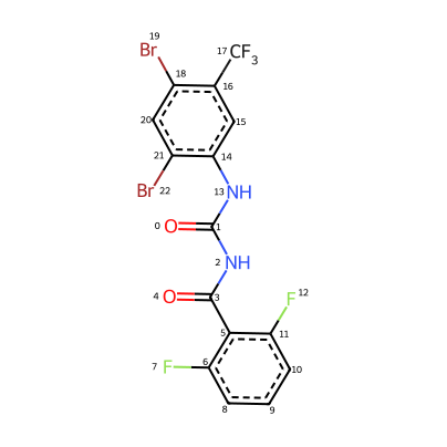 O=C(NC(=O)c1c(F)cccc1F)Nc1cc(C(F)(F)F)c(Br)cc1Br